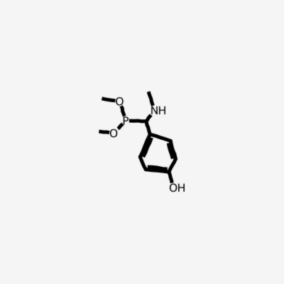 CNC(c1ccc(O)cc1)P(OC)OC